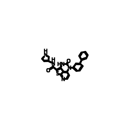 O=C(NC1=CCNC1)c1sc2nccc3c2c1NC(=O)N3c1cccc(-c2ccccc2)c1